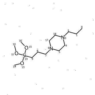 CCCN1CCN(CCC[Si](OC)(OC)OC)CC1